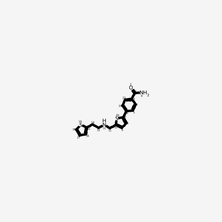 NC(=O)c1ccc(-c2ccc(CNCCc3cccs3)s2)cc1